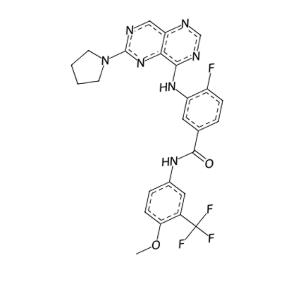 COc1ccc(NC(=O)c2ccc(F)c(Nc3ncnc4cnc(N5CCCC5)nc34)c2)cc1C(F)(F)F